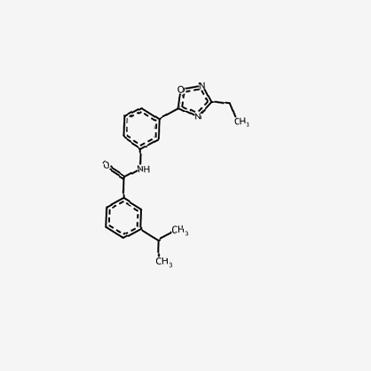 CCc1noc(-c2cccc(NC(=O)c3cccc(C(C)C)c3)c2)n1